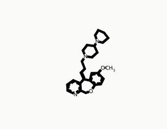 COc1ccc2c(c1)C(=CCCN1CCC(N3CCCCC3)CC1)c1cccnc1CO2